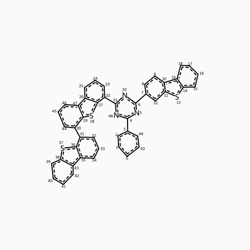 c1ccc(-c2nc(-c3ccc4c(c3)sc3ccccc34)nc(-c3cccc4c3sc3c(-c5cccc6c5sc5ccccc56)cccc34)n2)cc1